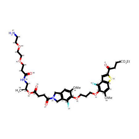 CCOC(=O)CCC(=O)c1cc2c(F)c(OCCCOc3c(OC)cc4c(c3F)CN(C(=O)CCC(=O)O[C@@H](C)CNC(=O)CCOCCOCCN)C4)c(OC)cc2s1